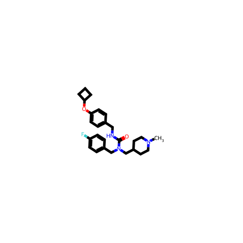 CN1CCC(CN(Cc2ccc(F)cc2)C(=O)NCc2ccc(OC3CCC3)cc2)CC1